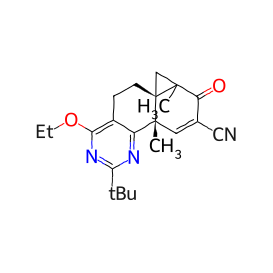 CCOc1nc(C(C)(C)C)nc2c1CC[C@@]13CC1(C)C(=O)C(C#N)=C[C@]23C